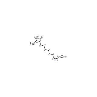 CCCCCCCC/C=C\CCCCCCCC(O)C(=O)O